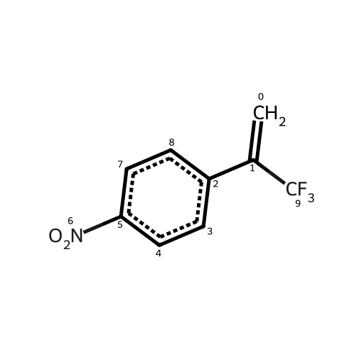 C=C(c1ccc([N+](=O)[O-])cc1)C(F)(F)F